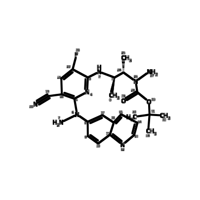 C[C@@H](Nc1nc(N(N)c2ccc3ncccc3c2)c(C#N)cc1F)[C@H](C)N(N)C(=O)OC(C)(C)C